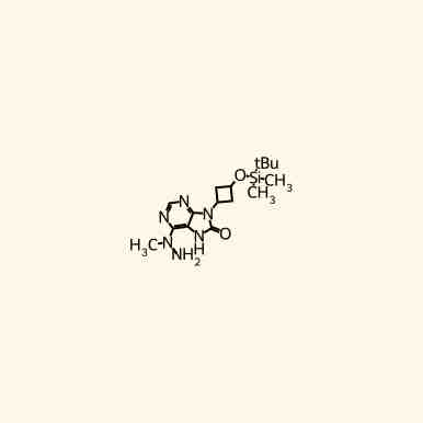 CN(N)c1ncnc2c1[nH]c(=O)n2C1CC(O[Si](C)(C)C(C)(C)C)C1